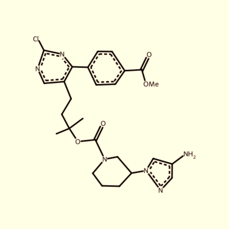 COC(=O)c1ccc(-c2nc(Cl)ncc2CCC(C)(C)OC(=O)N2CCCC(n3cc(N)cn3)C2)cc1